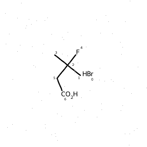 Br.CC(C)(F)CC(=O)O